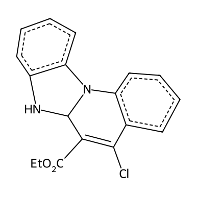 CCOC(=O)C1=C(Cl)c2ccccc2N2c3ccccc3NC12